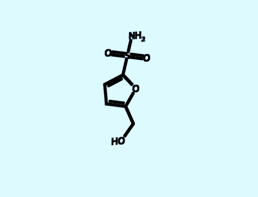 NS(=O)(=O)c1ccc(CO)o1